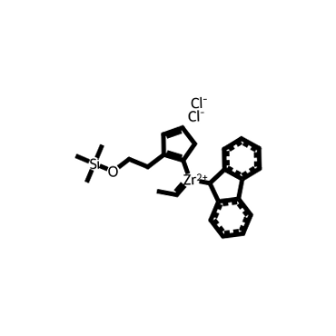 C[CH]=[Zr+2]([C]1=C(CCO[Si](C)(C)C)C=CC1)[CH]1c2ccccc2-c2ccccc21.[Cl-].[Cl-]